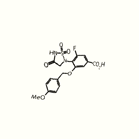 COc1ccc(COc2cc(C(=O)O)cc(F)c2N2CC(=O)NS2(=O)=O)cc1